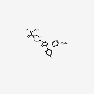 CCN(O)C(=O)N1CCC(c2nc(-c3ccc(OC)cc3)c(-c3ccc(F)cc3)o2)CC1